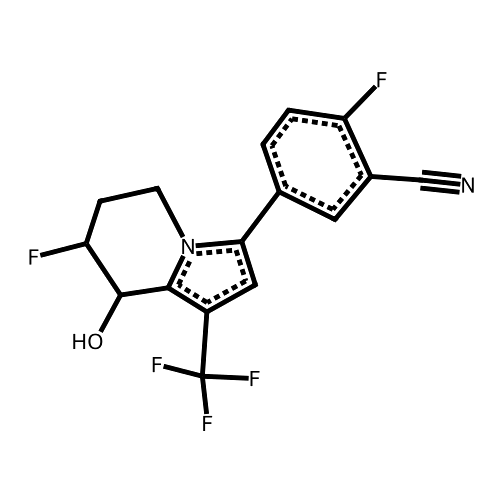 N#Cc1cc(-c2cc(C(F)(F)F)c3n2CCC(F)C3O)ccc1F